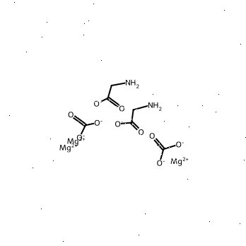 NCC(=O)[O-].NCC(=O)[O-].O=C([O-])[O-].O=C([O-])[O-].[Mg+2].[Mg+2].[Mg+2]